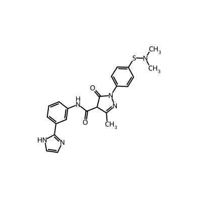 CC1=NN(c2ccc(SN(C)C)cc2)C(=O)C1C(=O)Nc1cccc(-c2ncc[nH]2)c1